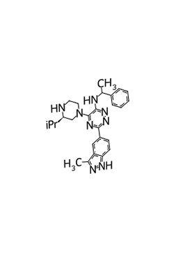 Cc1n[nH]c2ccc(-c3nnc(NC(C)c4ccccc4)c(N4CCN[C@H](C(C)C)C4)n3)cc12